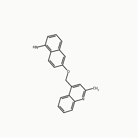 Cc1cc(COc2ccc3c([NH])cccc3c2)c2ccccc2n1